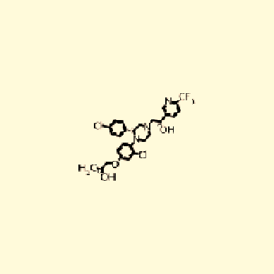 C[C@H](O)COc1ccc(N2CCN(C[C@@H](O)c3ccc(C(F)(F)F)nc3)C[C@H]2c2ccc(Cl)cc2)c(Cl)c1